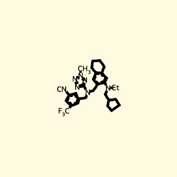 [C-]#[N+]c1cc(CN(Cc2cc3c(cc2N(CC)CC2CCCC2)CCCC3)c2nnn(C)n2)cc(C(F)(F)F)c1